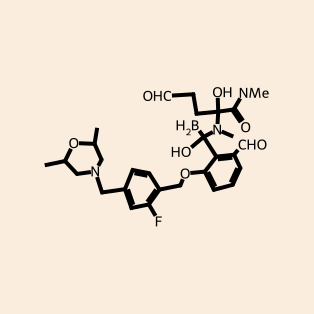 BC(O)(c1c(C=O)cccc1OCc1ccc(CN2CC(C)OC(C)C2)cc1F)N(C)C(O)(CCC=O)C(=O)NC